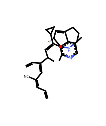 C=C/C=C(C#N)\C=C(/C=C)C(C)/C=C(\c1c(C)ncc(C)c1/C1=C\[C@@H](C)CNCCC1)C1CC1